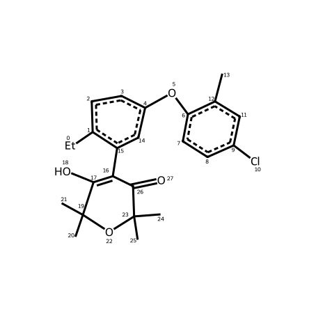 CCc1ccc(Oc2ccc(Cl)cc2C)cc1C1=C(O)C(C)(C)OC(C)(C)C1=O